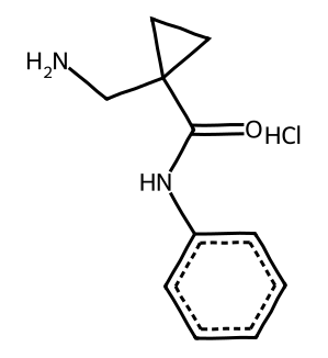 Cl.NCC1(C(=O)Nc2ccccc2)CC1